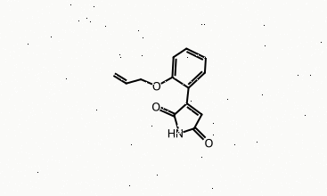 C=CCOc1ccccc1C1=CC(=O)NC1=O